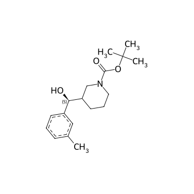 Cc1cccc([C@@H](O)C2CCCN(C(=O)OC(C)(C)C)C2)c1